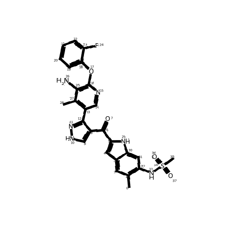 Cc1cc2cc(C(=O)c3c[nH]nc3-c3cnc(Oc4ccccc4F)c(N)c3C)[nH]c2cc1NS(C)(=O)=O